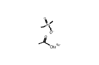 CC(=O)O.C[As](C)(=O)[O-].[Na+]